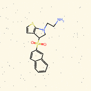 NCCN1CC(S(=O)(=O)c2ccc3ccccc3c2)c2ccsc21